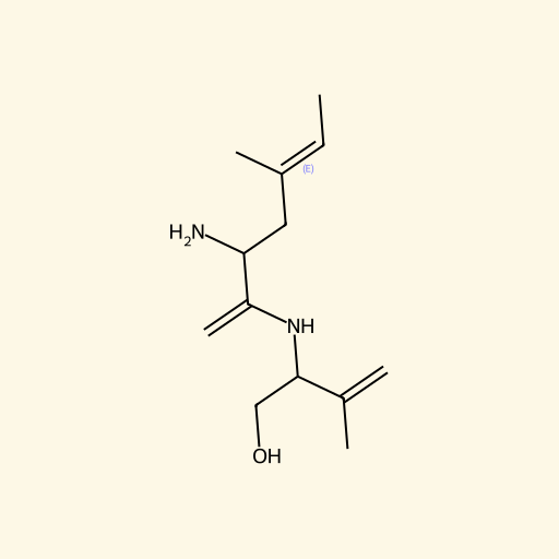 C=C(NC(CO)C(=C)C)C(N)C/C(C)=C/C